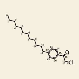 CCCCCCCCCCCCc1ccc(C(=O)CCl)cc1